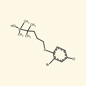 CC(C)(CCCOc1ccc(Cl)cc1Br)[Si](C)(C)O